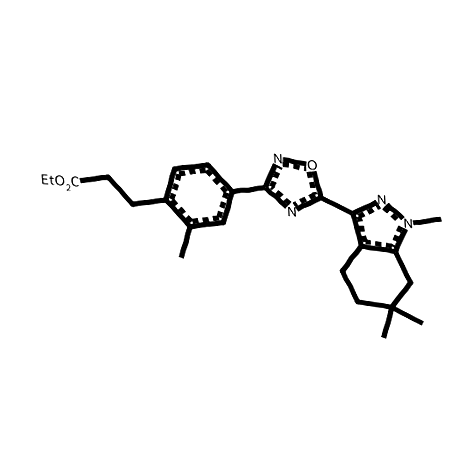 CCOC(=O)CCc1ccc(-c2noc(-c3nn(C)c4c3CCC(C)(C)C4)n2)cc1C